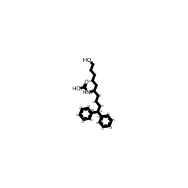 O=C(O)NC(CCCCCO)CCCC(c1ccccc1)c1ccccc1